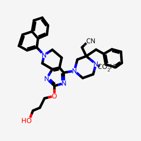 N#CCC1(Cc2ccccc2)CN(c2nc(OCCCO)nc3c2CCN(c2cccc4ccccc24)C3)CCN1C(=O)O